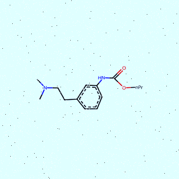 CCCOC(=O)Nc1cccc(CCN(C)C)c1